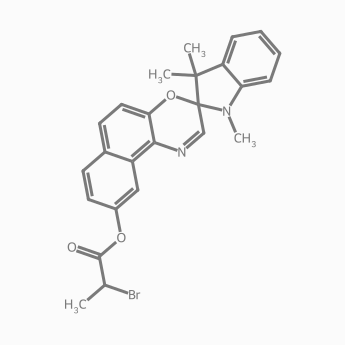 CC(Br)C(=O)Oc1ccc2ccc3c(c2c1)N=CC1(O3)N(C)c2ccccc2C1(C)C